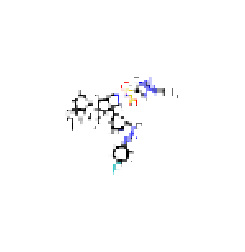 COC1(c2cccc(C)c2)CC2CN(S(=O)(=O)c3cnn(C)c3)CC2(c2cc3cnn(-c4ccc(F)cc4)c3cc2C)C1